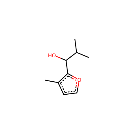 Cc1ccoc1C(O)C(C)C